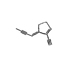 C#CC1=CCCC1=CC#CC